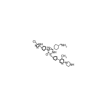 Cc1cc(N2CCNCC2)ncc1-c1ccc(C[C@H](NC(=O)[C@H]2CC[C@H](CN)CC2)C(=O)Nc2ccc(-c3nnc(Cl)[nH]3)cc2)cc1